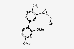 COc1ncc(-c2cc([C@H]3C[C@@H]3CO)c(C)nn2)c(OC)n1